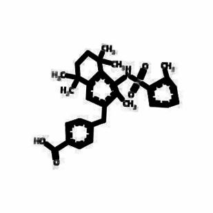 Cc1ccccc1S(=O)(=O)Nc1c(C)c(Cc2ccc(C(=O)O)cc2)cc2c1C(C)(C)CCC2(C)C